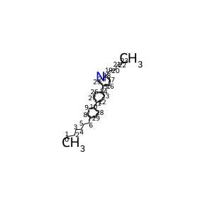 CCCCCCCc1ccc(-c2ccc(-c3ccc(CCCCC)nc3)cc2)cc1